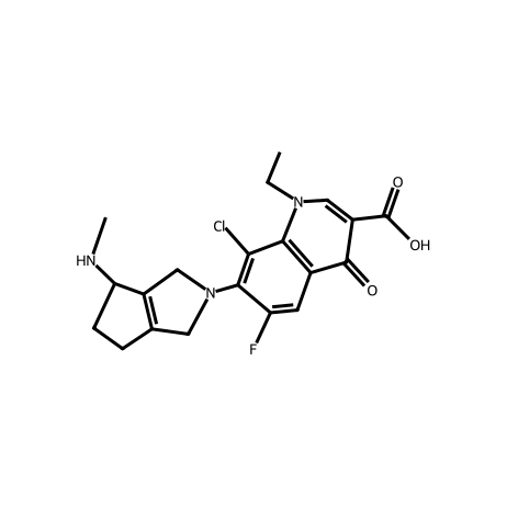 CCn1cc(C(=O)O)c(=O)c2cc(F)c(N3CC4=C(C3)C(NC)CC4)c(Cl)c21